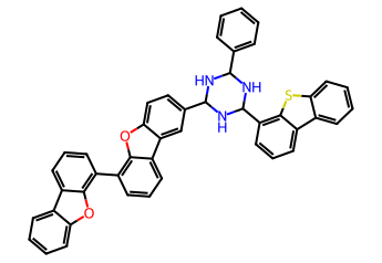 c1ccc(C2NC(c3ccc4oc5c(-c6cccc7c6oc6ccccc67)cccc5c4c3)NC(c3cccc4c3sc3ccccc34)N2)cc1